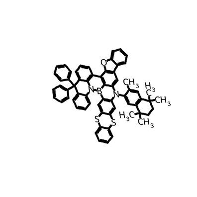 Cc1cc2c(cc1N1c3cc4c(cc3B3c5c1cc1c(oc6ccccc61)c5-c1cccc5c1N3c1ccccc1C5(c1ccccc1)c1ccccc1)Sc1ccccc1S4)C(C)(C)CCC2(C)C